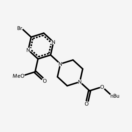 CCCCOC(=O)N1CCN(c2ncc(Br)nc2C(=O)OC)CC1